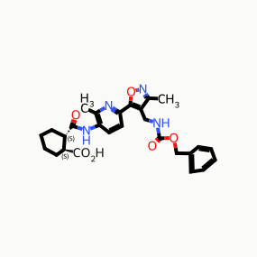 Cc1nc(-c2onc(C)c2CNC(=O)OCc2ccccc2)ccc1NC(=O)[C@H]1CCCC[C@@H]1C(=O)O